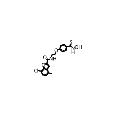 Cc1ccc(Cl)c2oc(C(=O)NCCOc3ccc(C(=S)NO)cc3)cc12